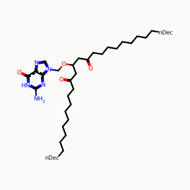 CCCCCCCCCCCCCCCCCCCC(=O)CC(CC(=O)CCCCCCCCCCCCCCCCCCC)OCn1cnc2c(=O)[nH]c(N)nc21